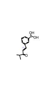 CC(C)C(=O)/C=C/c1cccc(B(O)O)c1